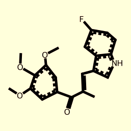 COc1cc(C(=O)/C(C)=C/c2c[nH]c3ccc(F)cc23)cc(OC)c1OC